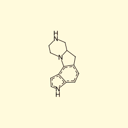 c1cc2c3c(ccc2[nH]1)CC1CNCCN31